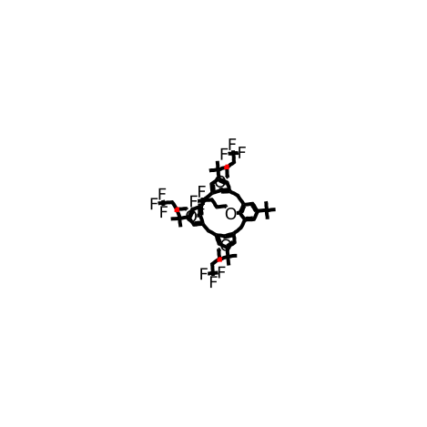 CC(C)(C)c1cc2c(OCCCC(F)(F)F)c(c1)Cc1cc(C(C)(C)C)cc(c1OCCCC(F)(F)F)Cc1cc(C(C)(C)C)cc(c1OCCCC(F)(F)F)Cc1cc(C(C)(C)C)cc(c1OCCCC(F)(F)F)C2